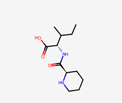 CCC(C)[C@H](NC(=O)[C@H]1CCCCN1)C(=O)O